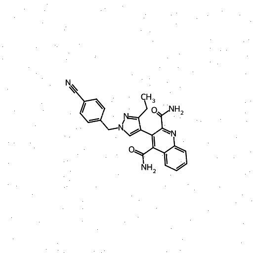 CCc1nn(Cc2ccc(C#N)cc2)cc1-c1c(C(N)=O)nc2ccccc2c1C(N)=O